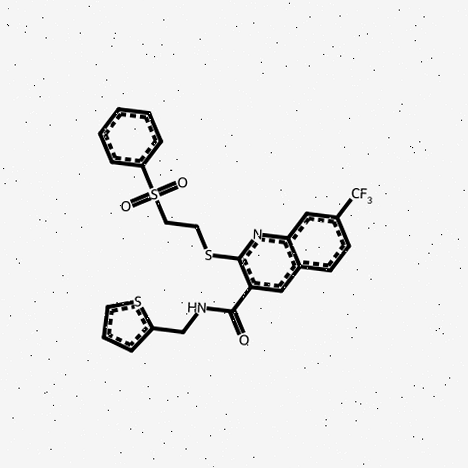 O=C(NCc1cccs1)c1cc2ccc(C(F)(F)F)cc2nc1SCCS(=O)(=O)c1ccccc1